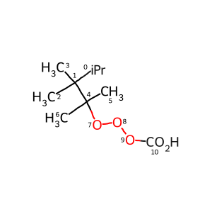 CC(C)C(C)(C)C(C)(C)OOOC(=O)O